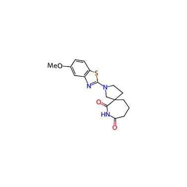 COc1ccc2sc(N3CCC4(CCCC(=O)NC4=O)C3)nc2c1